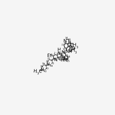 CCc1cc(Nc2nc(Nc3ccc4nccnc4c3P(C)(C)=O)c3cc[nH]c3n2)c(OC)nc1C1CCN(C2CCN(C)CC2)CC1